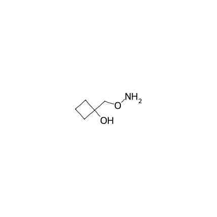 NOCC1(O)CCC1